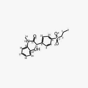 CCCS(=O)(=O)c1ccc(CC(=O)N(C)c2ccccc2O)cc1